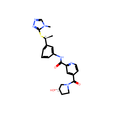 C[C@H](Sc1nncn1C)c1cccc(NC(=O)c2cc(C(=O)N3CC[C@H](O)C3)ccn2)c1